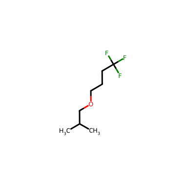 CC(C)COCCCC(F)(F)F